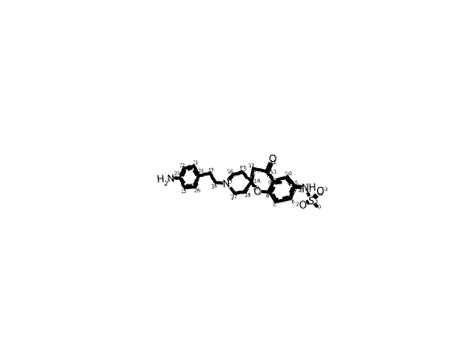 CS(=O)(=O)Nc1ccc2c(c1)C(=O)CC1(CCN(CCc3ccc(N)cc3)CC1)O2